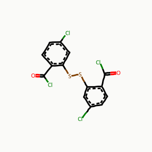 O=C(Cl)c1ccc(Cl)cc1SSc1cc(Cl)ccc1C(=O)Cl